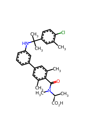 Cc1cc(C(C)(C)Nc2cccc(-c3cc(C)c(C(=O)N(C)[C@@H](C)C(=O)O)c(C)c3)c2)ccc1Cl